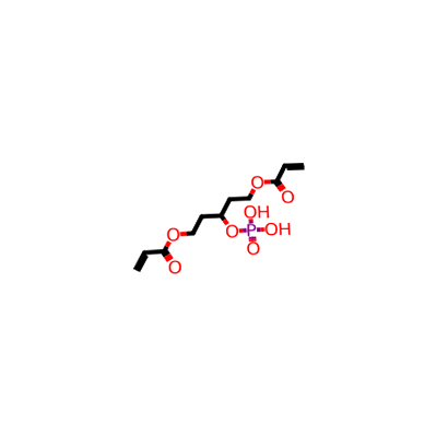 C=CC(=O)OCCC(CCOC(=O)C=C)OP(=O)(O)O